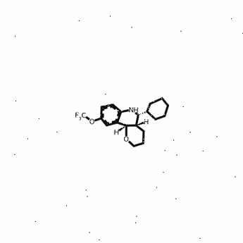 FC(F)(F)Oc1ccc2c(c1)[C@H]1OCCC[C@H]1[C@@H](C1CCCCC1)N2